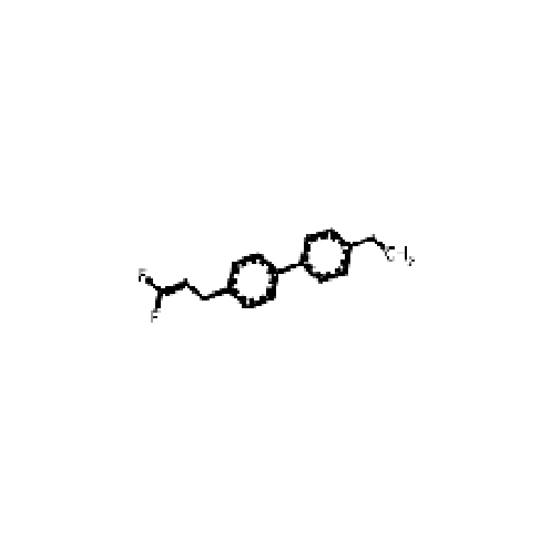 CCc1ccc(-c2ccc(CC=C(F)F)cc2)cc1